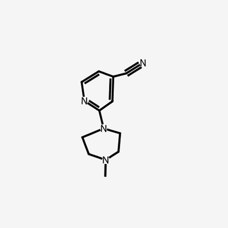 CN1CCN(c2cc(C#N)ccn2)CC1